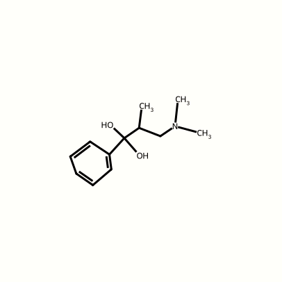 CC(CN(C)C)C(O)(O)c1ccccc1